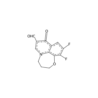 O=Cc1cn2c3c(c(F)c(F)cc3c1=O)OCCC2